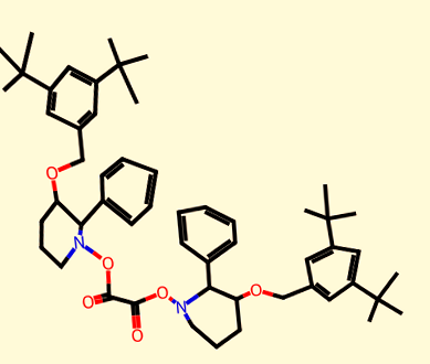 CC(C)(C)c1cc(COC2CCCN(OC(=O)C(=O)ON3CCCC(OCc4cc(C(C)(C)C)cc(C(C)(C)C)c4)C3c3ccccc3)C2c2ccccc2)cc(C(C)(C)C)c1